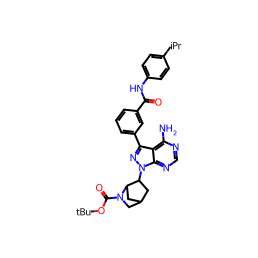 CC(C)c1ccc(NC(=O)c2cccc(-c3nn(C4CC5CC4N(C(=O)OC(C)(C)C)C5)c4ncnc(N)c34)c2)cc1